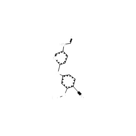 COc1cc(Oc2ccc(NC=O)cn2)ccc1C#N